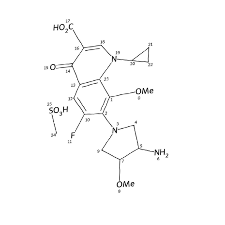 COc1c(N2CC(N)C(OC)C2)c(F)cc2c(=O)c(C(=O)O)cn(C3CC3)c12.CS(=O)(=O)O